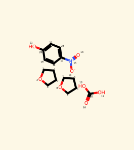 C1CCOC1.C1CCOC1.O=C(O)O.O=[N+]([O-])c1ccc(O)cc1